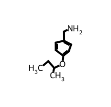 CCC(C)Oc1ccc(CN)cc1